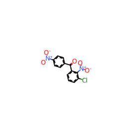 O=C(c1ccc([N+](=O)[O-])cc1)c1cccc(Cl)c1[N+](=O)[O-]